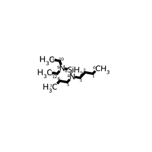 CCCCN(CCC)[SiH2]N(CC)CC